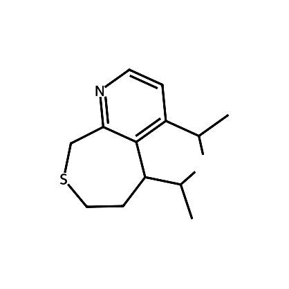 CC(C)c1ccnc2c1C(C(C)C)CCSC2